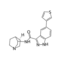 O=C(N[C@H]1CN2CCC1CC2)c1n[nH]c2ccc(-c3ccsc3)cc12